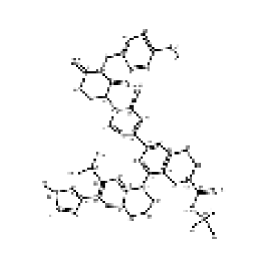 COc1ccc(CN2C(=O)CCC(n3ccc(-c4cc5c(c(N6CCCc7cc(-c8cnn(C)c8)c(C(F)F)cc76)c4)CN(C(=O)OC(C)(C)C)CC5)cc3=O)C2=O)cc1